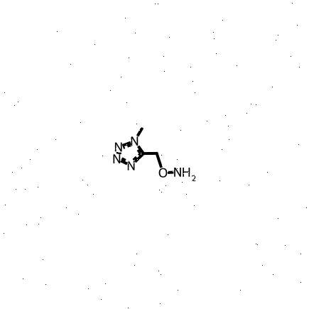 Cn1nnnc1CON